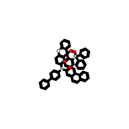 c1ccc(-c2ccc(N(c3ccc4c(c3)C3(c5ccccc5O4)c4ccccc4[Si](c4ccccc4)(c4ccccc4)c4ccccc43)c3ccc4c(ccc5ccccc54)c3)cc2)cc1